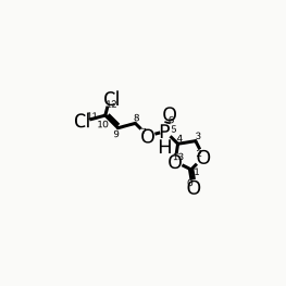 O=C1OCC([PH](=O)OCC=C(Cl)Cl)O1